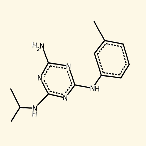 Cc1cccc(Nc2nc(N)nc(NC(C)C)n2)c1